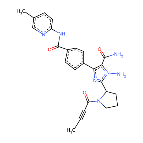 CC#CC(=O)N1CCCC1c1nc(-c2ccc(C(=O)Nc3ccc(C)cn3)cc2)c(C(N)=O)n1N